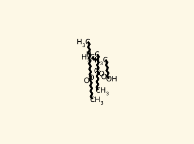 CCCCCCC(=O)O.CCCCCCC(=O)OCCCC(CC)CC.CCCCCCCCCCCCCOC(=O)CCCCCCC